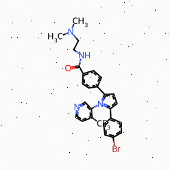 CN(C)CCNC(=O)c1ccc(-c2ccc(-c3ccc(Br)cc3)n2-c2cnccc2C(F)(F)F)cc1